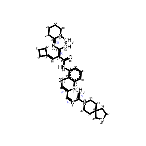 C\C=C(/N=C\C(=C\CC)Sc1cccc(NC(=O)/C(C=C2CCC2)=C(O)/N=C2/CCCCN2C)c1Cl)N1CCC2(CCOC2)CC1